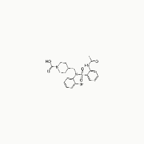 CC(=O)Nc1ccccc1S(=O)(=O)N(CC1CCN(C(=O)O)CC1)c1ccccc1Br